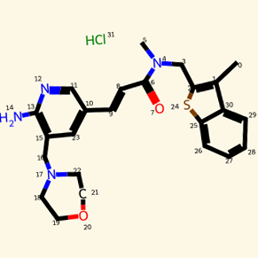 Cc1c(CN(C)C(=O)C=Cc2cnc(N)c(CN3CCOCC3)c2)sc2ccccc12.Cl